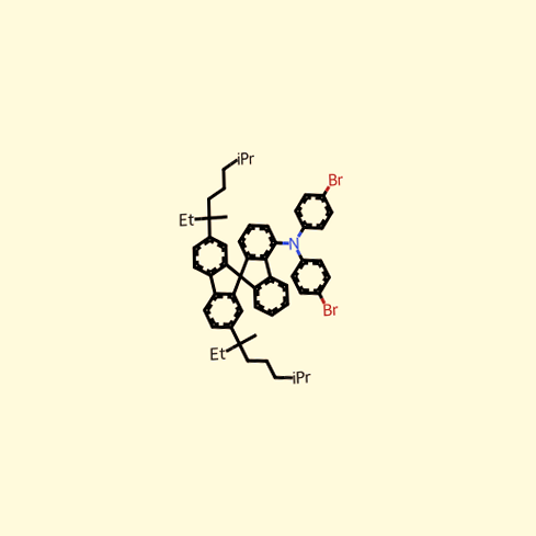 CCC(C)(CCCC(C)C)c1ccc2c(c1)C1(c3cc(C(C)(CC)CCCC(C)C)ccc3-2)c2ccccc2-c2c(N(c3ccc(Br)cc3)c3ccc(Br)cc3)cccc21